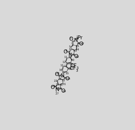 CC(C)n1c(=O)c2cc3c(=O)n(-c4ccc(-c5ccc(-n6c(=O)c7cc8c(=O)n(C)c(=O)c8cc7c6=O)cc5C(F)(F)F)c(C(F)(F)F)c4)c(=O)c3cc2c1=O